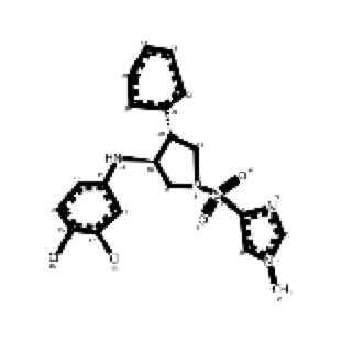 Cn1cnc(S(=O)(=O)N2C[C@@H](Nc3ccc(Cl)c(Cl)c3)[C@H](c3ccccc3)C2)c1